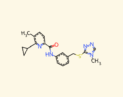 Cc1ccc(C(=O)Nc2cccc(CSc3nncn3C)c2)nc1C1CC1